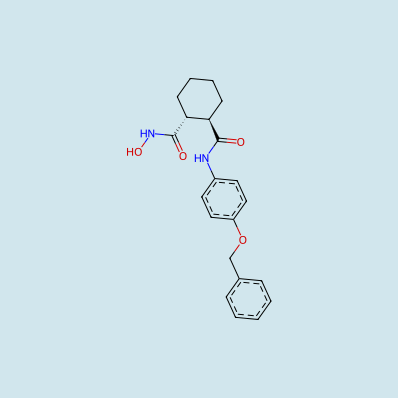 O=C(NO)[C@@H]1CCCC[C@H]1C(=O)Nc1ccc(OCc2ccccc2)cc1